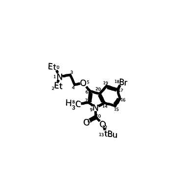 CCN(CC)CCOc1c(C)n(C(=O)OC(C)(C)C)c2ccc(Br)cc12